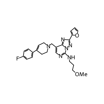 COCCCNc1ncc(CN2CC=C(c3ccc(F)cc3)CC2)c2nc(-c3ccco3)nn12